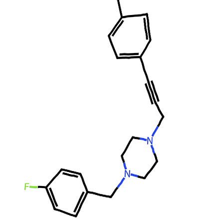 Cc1ccc(C#CCN2CCN(Cc3ccc(F)cc3)CC2)cc1